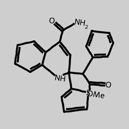 COC(=O)C(c1ccccc1)C1(c2cccs2)C=C(C(N)=O)c2ccccc2N1